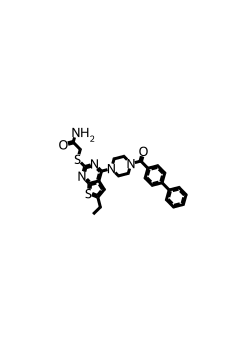 CCc1cc2c(N3CCN(C(=O)c4ccc(-c5ccccc5)cc4)CC3)nc(SCC(N)=O)nc2s1